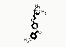 CCN(CC)CCOC1CCN(C(=O)c2ccc(N)cc2)CC1